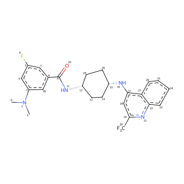 CN(C)c1cc(F)cc(C(=O)N[C@H]2CC[C@@H](Nc3cc(C(F)(F)F)nc4ccccc34)CC2)c1